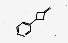 O=C1CC(c2cccnc2)C1